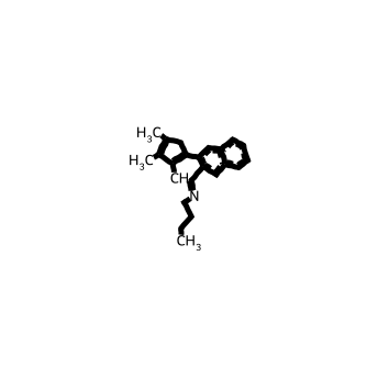 CCCCN=Cc1cc2ccccc2cc1C1=C(C)C(C)=C(C)C1